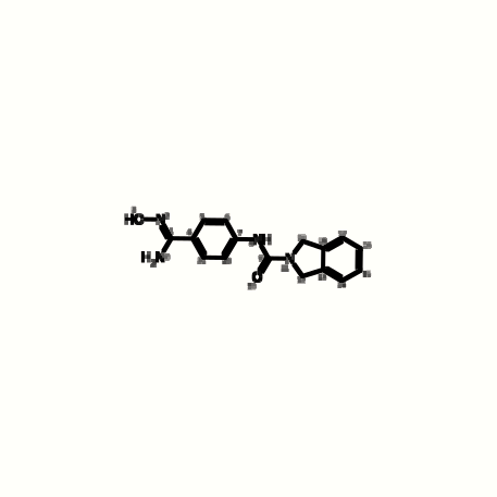 N/C(=N\O)c1ccc(NC(=O)N2Cc3ccccc3C2)cc1